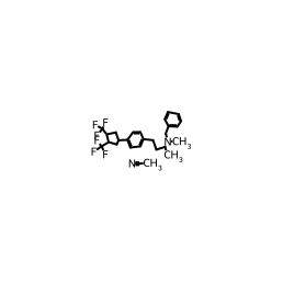 CC#N.CC(CCc1ccc(C2CC(C(F)(F)F)C(C(F)(F)F)C2)cc1)N(C)Cc1ccccc1